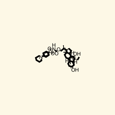 CC[C@H]1[C@@H](O)[C@@H]2[C@H](CC[C@]3(C)[C@@H]([C@H](C)COC(=O)NS(=O)(=O)c4ccc(N5CCCCC5)cc4)CC[C@@H]23)[C@@]2(C)CC[C@@H](O)C[C@@H]12